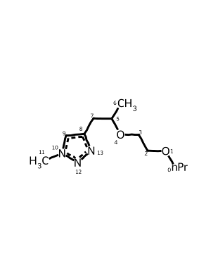 CCCOCCOC(C)Cc1cn(C)nn1